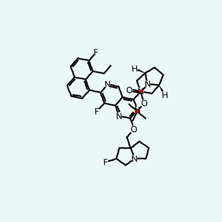 CCc1c(F)ccc2cccc(-c3ncc4c(N5C[C@H]6CC[C@@H](C5)N6C(=O)OC(C)(C)C)nc(OCC56CCCN5CC(F)C6)nc4c3F)c12